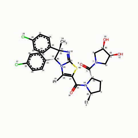 CC[C@@H]1CC[C@@H](C(=O)N2C[C@@H](O)[C@@H](O)C2)N1C(=O)C1=C(C(C)C)N2C(=N[C@@](C)(c3ccc(Cl)cc3)[C@H]2c2ccc(Cl)cc2)S1